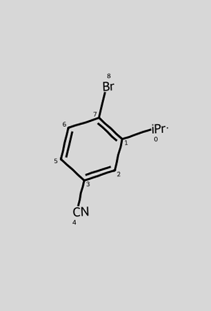 C[C](C)c1cc(C#N)ccc1Br